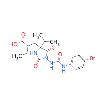 CCC(CC1(C(C)C)NC(=O)N(NC(=O)Nc2ccc(Br)cc2)C1=O)C(=O)O